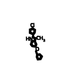 Cc1c(-c2ccc(Cl)cc2)[nH]c2ccc(OCc3ccccc3)cc12